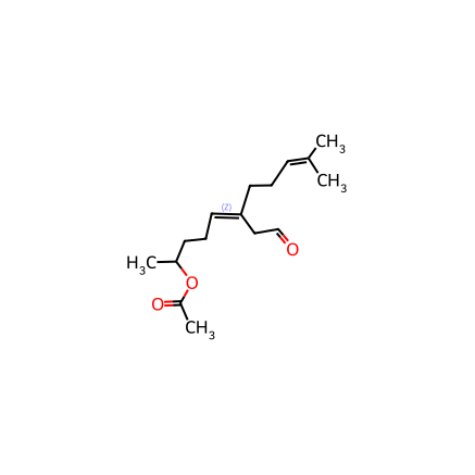 CC(=O)OC(C)CC/C=C(\CC=O)CCC=C(C)C